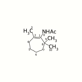 CC(=O)NC1=C(C)CCCCC1(C)C